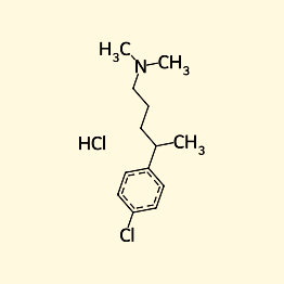 CC(CCCN(C)C)c1ccc(Cl)cc1.Cl